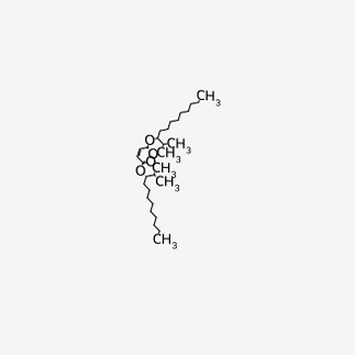 CCCCCCCCCC(OC(=O)/C=C\C(=O)OC(CCCCCCCCC)C(C)C)C(C)C